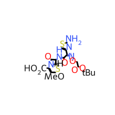 COC1=C(C(=O)O)N2C(=O)C(NC(=O)/C(=N\OCC(=O)OC(C)(C)C)c3csc(N)n3)[C@H]2SC1